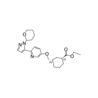 CCOC(=O)[C@H]1CCC[C@H](COc2ccc(-c3ccnn3C3CCCCO3)nc2)C1